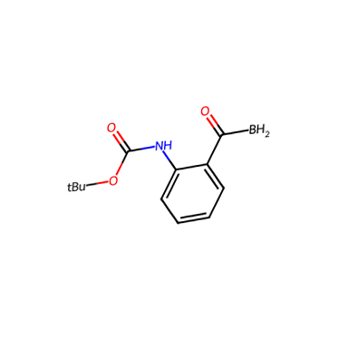 BC(=O)c1ccccc1NC(=O)OC(C)(C)C